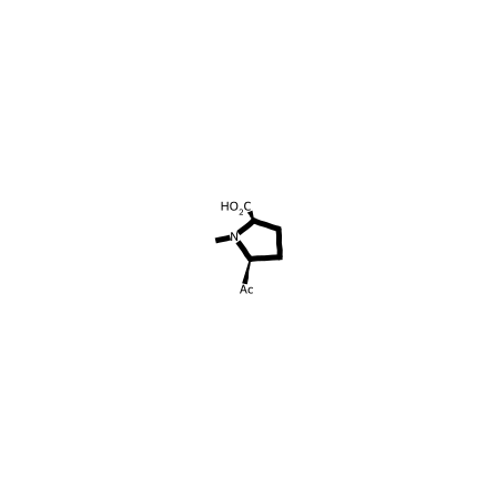 CC(=O)[C@@H]1CC[C@H](C(=O)O)N1C